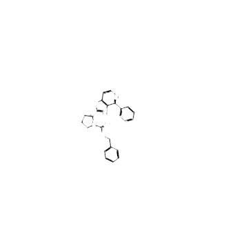 O=C(OCc1ccccc1)N1CCC[C@H]1c1nc2c(-c3ccccc3)nccc2s1